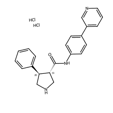 Cl.Cl.O=C(Nc1ccc(-c2cccnc2)cc1)[C@@H]1CNC[C@H]1c1ccccc1